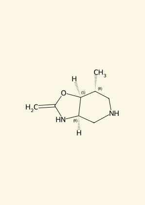 C=C1N[C@@H]2CNC[C@@H](C)[C@@H]2O1